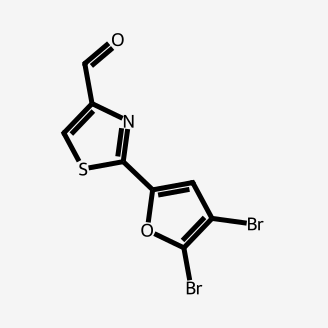 O=Cc1csc(-c2cc(Br)c(Br)o2)n1